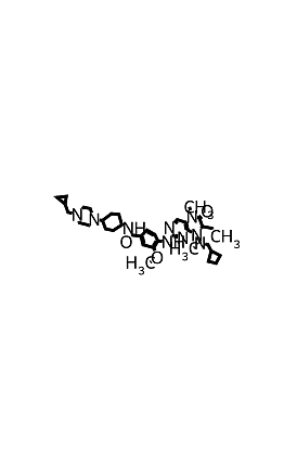 CCC1C(=O)N(C)c2cnc(Nc3ccc(C(=O)NC4CCC(N5CCN(CC6CC6)CC5)CC4)cc3OC)nc2N1N(C)CC1CCC1